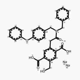 O=C(O)c1cc(CC(=O)N(Cc2ccccc2)Cc2ccc(Oc3ccccc3)cc2)c(C(=O)O)cc1CO.[Na].[Na]